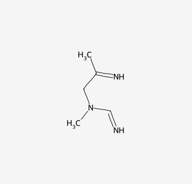 CC(=N)CN(C)C=N